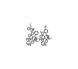 CCCC(=O)OCOC(=O)c1c(-c2cccc(F)c2)nn(CC)c(=O)c1Nc1cccnc1.CCOC(=O)c1c(-c2ccc(F)cc2)nn(CC)c(=O)c1Nc1cccnc1